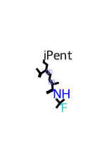 C=C(C)/C(=C\C=C(/C)C(=C)NCC(C)(C)F)CCC(C)CCC